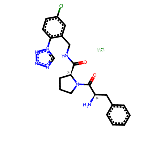 Cl.N[C@H](Cc1ccccc1)C(=O)N1CCC[C@H]1C(=O)NCc1cc(Cl)ccc1-n1cnnn1